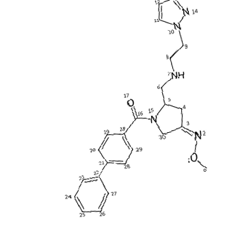 CON=C1CC(CNCCn2cccn2)N(C(=O)c2ccc(-c3ccccc3)cc2)C1